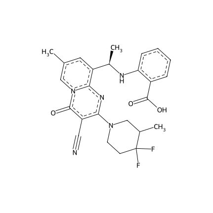 Cc1cc([C@@H](C)Nc2ccccc2C(=O)O)c2nc(N3CCC(F)(F)C(C)C3)c(C#N)c(=O)n2c1